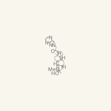 COC[C@]12CC[C@@](C)(O)C[C@@H]1CC[C@H]1[C@@H]3CC[C@H](C(=O)Cn4cc5nccnc5n4)C3(C)CC[C@@H]12